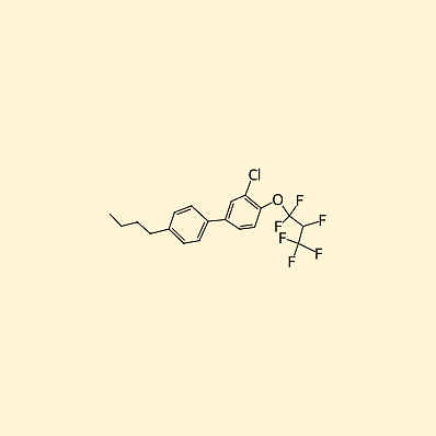 CCCCc1ccc(-c2ccc(OC(F)(F)C(F)C(F)(F)F)c(Cl)c2)cc1